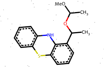 COC(C)OC(C)c1cccc2c1Nc1ccccc1S2